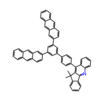 CC1(C)c2ccccc2-c2nc3ccccc3c(-c3ccc(-c4cc(-c5ccc6cc7ccccc7cc6c5)cc(-c5ccc6cc7ccccc7cc6c5)c4)cc3)c21